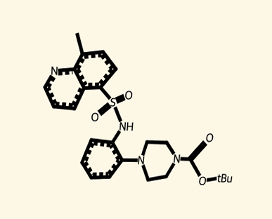 Cc1ccc(S(=O)(=O)Nc2ccccc2N2CCN(C(=O)OC(C)(C)C)CC2)c2cccnc12